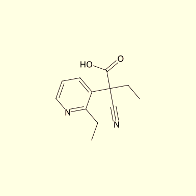 CCc1ncccc1C(C#N)(CC)C(=O)O